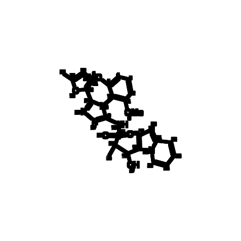 COc1cccc(OC)c1-n1c(NS(=O)(=O)C(C)C(O)c2cnc3ccccn23)nnc1-c1ccc(C)o1